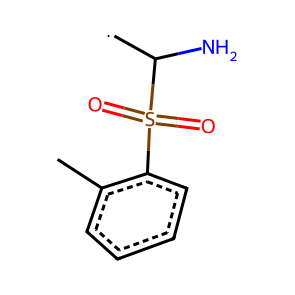 [CH2]C(N)S(=O)(=O)c1ccccc1C